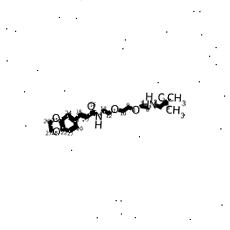 CC(C)(C)CNCCOCCOCCNC(=O)/C=C/c1ccc2c(c1)OCCO2